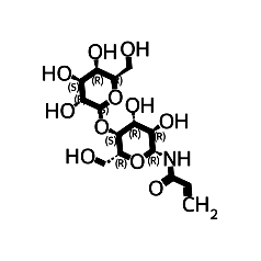 C=CC(=O)N[C@@H]1O[C@H](CO)[C@@H](O[C@@H]2O[C@H](CO)[C@H](O)[C@H](O)[C@H]2O)[C@H](O)[C@H]1O